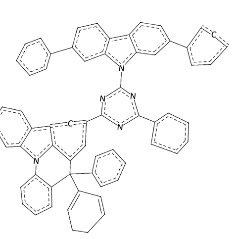 C1=CC(C2(c3ccccc3)c3ccccc3-n3c4ccccc4c4cc(-c5nc(-c6ccccc6)nc(-n6c7cc(-c8ccccc8)ccc7c7ccc(-c8ccccc8)cc76)n5)cc2c43)=CCC1